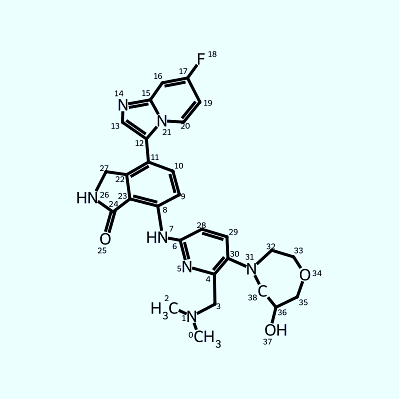 CN(C)Cc1nc(Nc2ccc(-c3cnc4cc(F)ccn34)c3c2C(=O)NC3)ccc1N1CCOCC(O)C1